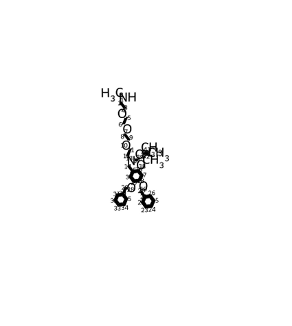 CNCCOCCOCCOCCN(Cc1ccc(OCc2ccccc2)c(OCc2ccccc2)c1)C(=O)OC(C)(C)C